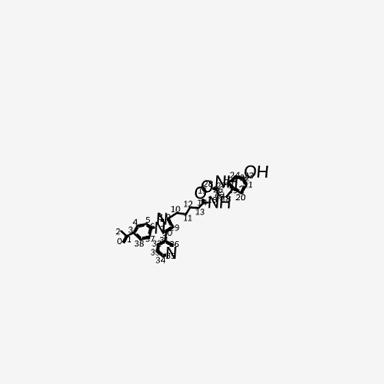 C=C(C)c1ccc(-n2nc(CCCCC(=O)N[C@@H](Cc3ccc(O)cc3)C(N)=O)cc2-c2cccnc2)cc1